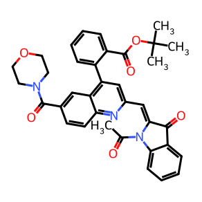 CC(=O)N1/C(=C\c2cc(-c3ccccc3C(=O)OC(C)(C)C)c3cc(C(=O)N4CCOCC4)ccc3n2)C(=O)c2ccccc21